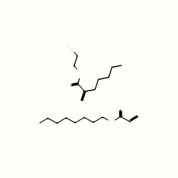 C=C(CCCCC)C(=O)OCCN.C=CC(=O)NCCCCCCCC